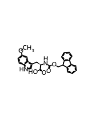 COc1ccc2[nH]cc(C[C@@H](NC(=O)OCC3c4ccccc4-c4ccccc43)C(=O)O)c2c1